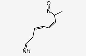 CC(/C=C\C=C/CC=N)N=O